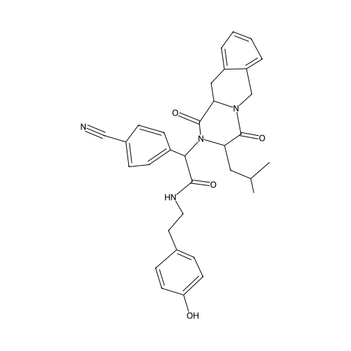 CC(C)CC1C(=O)N2Cc3ccccc3CC2C(=O)N1C(C(=O)NCCc1ccc(O)cc1)c1ccc(C#N)cc1